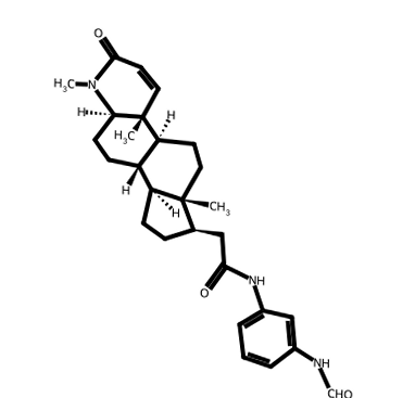 CN1C(=O)C=C[C@]2(C)[C@H]3CC[C@]4(C)[C@@H](CC(=O)Nc5cccc(NC=O)c5)CC[C@H]4[C@@H]3CC[C@@H]12